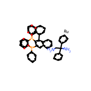 NCC(N)(c1ccccc1)c1ccccc1.[Ru].c1ccc(P(c2ccccc2)c2cc3ccccc3c(-c3cccc4ccccc34)c2P(c2ccccc2)c2ccccc2)cc1